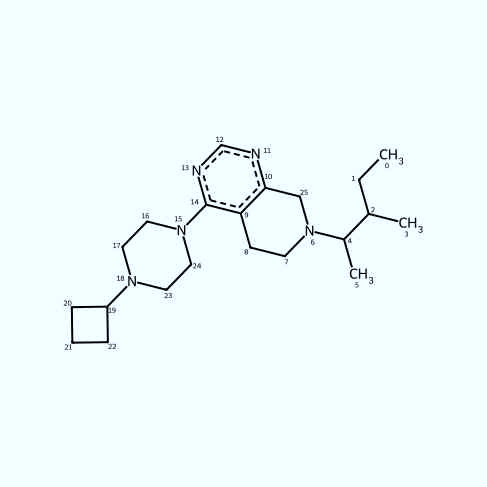 CCC(C)C(C)N1CCc2c(ncnc2N2CCN(C3CCC3)CC2)C1